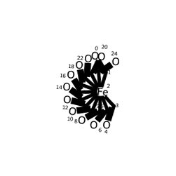 O=[CH][Fe]([CH]=O)([CH]=O)([CH]=O)([CH]=O)([CH]=O)([CH]=O)([CH]=O)([CH]=O)([CH]=O)([CH]=O)[CH]=O